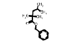 CC(C)CC(C)(C)C(=O)OCc1ccccc1